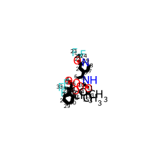 CO[C@@](C(=O)OCC(NC(=O)OC(C)(C)C)c1ccnc(OC(F)F)c1)(c1ccccc1)C(F)(F)F